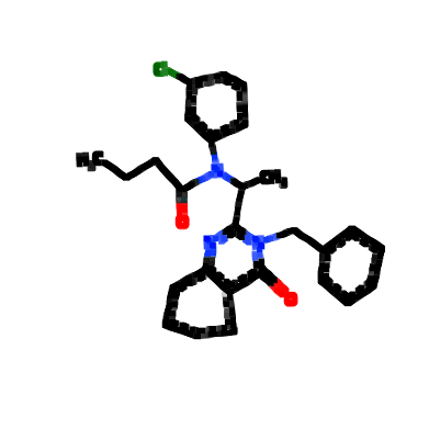 CCCC(=O)N(c1cccc(Cl)c1)C(C)c1nc2ccccc2c(=O)n1Cc1ccccc1